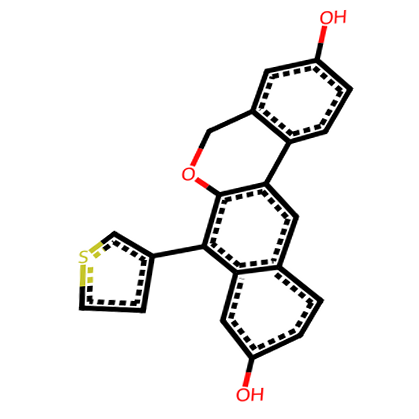 Oc1ccc2c(c1)COc1c-2cc2ccc(O)cc2c1-c1ccsc1